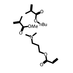 C=C(C)C(=O)OC.C=C(C)C(=O)OCCCC.C=CC(=O)OCCCN(C)C